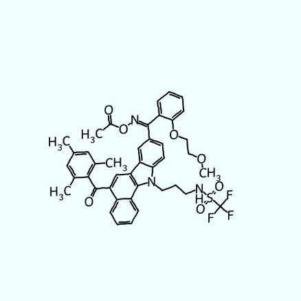 COCCOc1ccccc1/C(=N/OC(C)=O)c1ccc2c(c1)c1cc(C(=O)c3c(C)cc(C)cc3C)c3ccccc3c1n2CCCNS(=O)(=O)C(F)(F)F